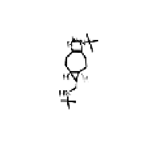 CC(C)(C)NC[C@@H]1[C@@H]2CCc3c(nnn3C(C)(C)C)CC[C@@H]21